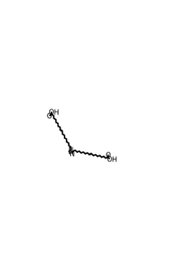 O=C(O)CCCCCCCC=CCCCCCCCCN1CCN=C1CCCCCCCC=CCCCCCCCC(=O)O